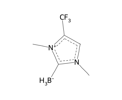 [BH3-]c1n(C)cc(C(F)(F)F)[n+]1C